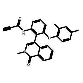 C#CC(=O)Nc1cccc(Oc2ccc(F)cc2F)c1-c1cn(C)c(=O)c2ccccc12